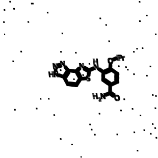 CC(C)Oc1ccc(C(N)=O)cc1Nc1nc2c(ccc3[nH]nnc32)s1